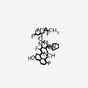 C#Cc1c(F)ccc2cc(O)cc(-c3ncc4c(N5CC6CCC(C5)N6)nc(OC[C@@]56C[C@@H](F)CN5C[C@@]5(CC5(C)F)C6)nc4c3F)c12